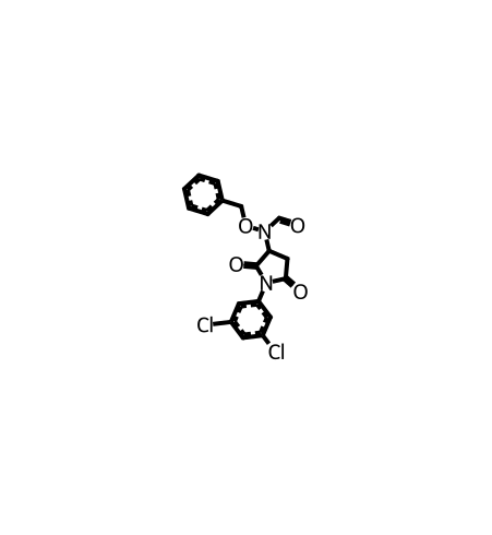 O=CN(OCc1ccccc1)C1CC(=O)N(c2cc(Cl)cc(Cl)c2)C1=O